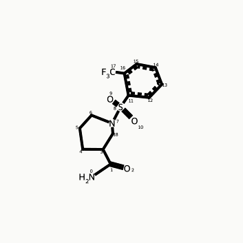 NC(=O)C1CCCN(S(=O)(=O)c2ccccc2C(F)(F)F)C1